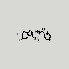 C/C(=N\Nc1nc2cc(F)c(F)cc2n1C)c1ccncn1